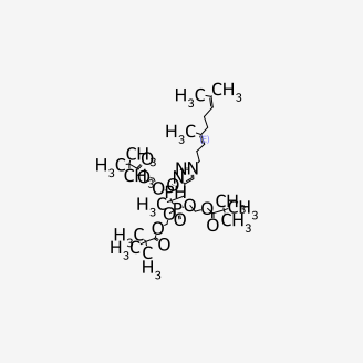 CC(C)=CCC/C(C)=C/CCn1cc(CC(C)([PH](=O)OCOC(=O)C(C)(C)C)P(=O)(OCOC(=O)C(C)(C)C)OCOC(=O)C(C)(C)C)nn1